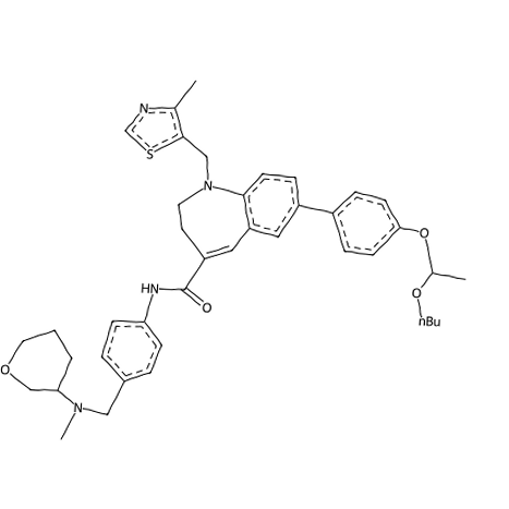 CCCCOC(C)Oc1ccc(-c2ccc3c(c2)C=C(C(=O)Nc2ccc(CN(C)C4CCCOC4)cc2)CCN3Cc2scnc2C)cc1